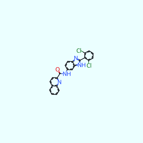 O=C(Nc1ccc2nc(-c3c(Cl)cccc3Cl)[nH]c2c1)c1ccc2ccccc2n1